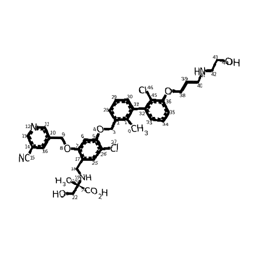 Cc1c(COc2cc(OCc3cncc(C#N)c3)c(CN[C@@](C)(CO)C(=O)O)cc2Cl)cccc1-c1cccc(OCCCNCCO)c1Cl